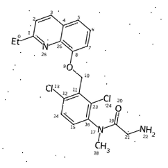 CCc1ccc2cccc(OCc3c(Cl)ccc(N(C)C(=O)CN)c3Cl)c2n1